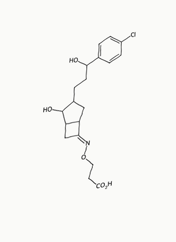 O=C(O)CCON=C1CC2C1CC(CCC(O)c1ccc(Cl)cc1)C2O